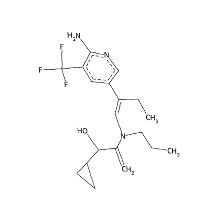 C=C(C(O)C1CC1)N(/C=C(\CC)c1cnc(N)c(C(F)(F)F)c1)CCC